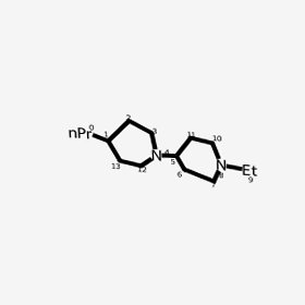 CCCC1CCN(C2CCN(CC)CC2)CC1